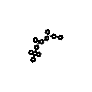 c1ccc(-c2ccc(-n3c4ccccc4c4cc(-c5ccc6c(c5)c5ccccc5n6-c5ccc(-c6c7ccccc7c(-c7ccccc7)c7ccccc67)cc5)ccc43)cc2)cc1